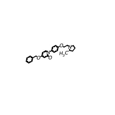 C[C@H]1CCCN1CCOc1ccc(-n2ccc(OCc3ccccc3)cc2=O)cc1